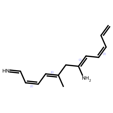 C=C/C=C\C=C(/N)C/C(C)=C/C=C\C=N